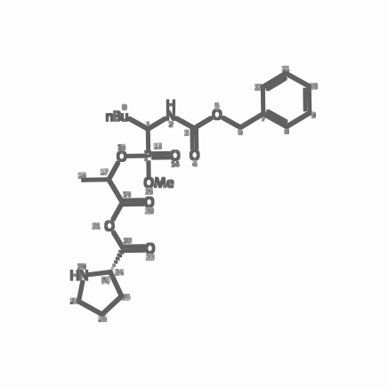 CCCCC(NC(=O)OCc1ccccc1)P(=O)(OC)OC(C)C(=O)OC(=O)[C@@H]1CCCN1